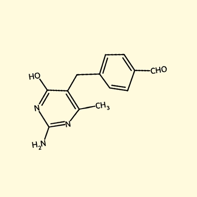 Cc1nc(N)nc(O)c1Cc1ccc(C=O)cc1